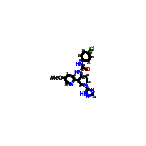 COc1ccc(C2CN(c3ncn[nH]3)CCC2NC(=O)Nc2ccc(Cl)cc2)nc1